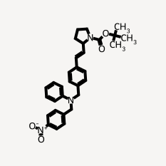 CC(C)(C)OC(=O)N1CCCC1C=Cc1ccc(CN(Cc2ccc([N+](=O)[O-])cc2)c2ccccc2)cc1